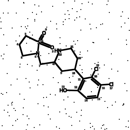 O=S1(=O)CCCN1CC1CC(c2c(O)ccc(Cl)c2Cl)CCN1